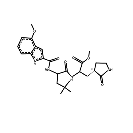 COC(=O)C(C[C@@H]1CCNC1=O)NC(=O)C(CC(C)(C)C)NC(=O)c1cc2c(OC)cccc2[nH]1